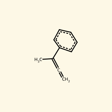 C=C=C(C)c1ccccc1